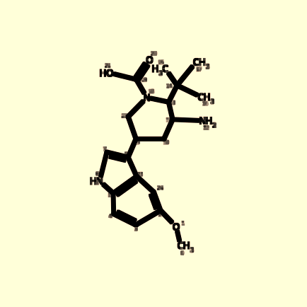 COc1ccc2[nH]cc(C3CC(N)C(C(C)(C)C)N(C(=O)O)C3)c2c1